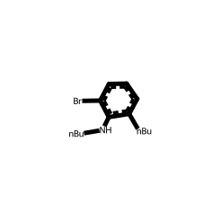 CCCCNc1c(Br)cccc1CCCC